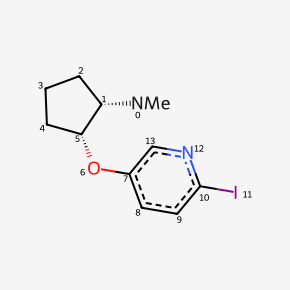 CN[C@H]1CCC[C@H]1Oc1ccc(I)nc1